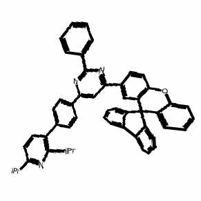 CC(C)c1ccc(-c2ccc(-c3cc(-c4ccc5c(c4)C4(c6ccccc6O5)c5ccccc5-c5ccccc54)nc(-c4ccccc4)n3)cc2)c(C(C)C)n1